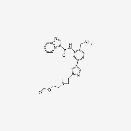 NCc1ccc(-n2cnc(C3CN(CCOC=O)C3)c2)cc1NC(=O)c1cnc2ccccn12